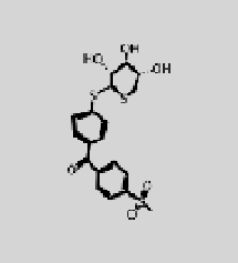 CS(=O)(=O)c1ccc(C(=O)c2ccc(S[C@@H]3SC[C@@H](O)[C@H](O)[C@H]3O)cc2)cc1